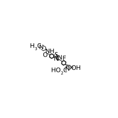 CN1CCC(NC(=O)c2ccc3c(c2)sc2nc(-c4ccc([C@H]5C[C@H](O)CN5C(=O)O)cc4F)cn23)CC1